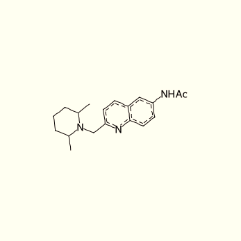 CC(=O)Nc1ccc2nc(CN3C(C)CCCC3C)ccc2c1